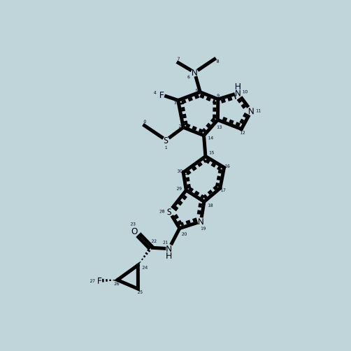 CSc1c(F)c(N(C)C)c2[nH]ncc2c1-c1ccc2nc(NC(=O)[C@@H]3C[C@@H]3F)sc2c1